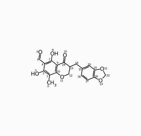 Cc1c(O)c(C=O)c(O)c2c1OCC(Cc1ccc3c(c1)OCO3)C2=O